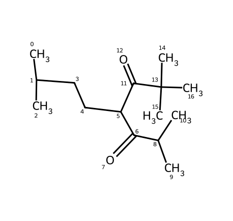 CC(C)CCC(C(=O)C(C)C)C(=O)C(C)(C)C